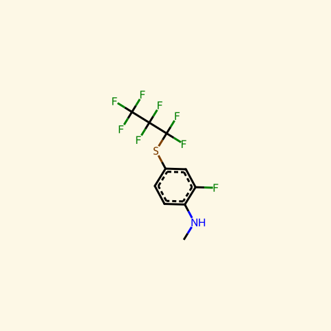 CNc1ccc(SC(F)(F)C(F)(F)C(F)(F)F)cc1F